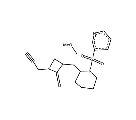 C#CCN1CC([C@H](COC)C2CCCCN2S(=O)(=O)c2cccnc2)C1=O